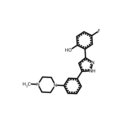 CN1CCN(c2cccc(-c3cc(-c4cc(F)ccc4O)n[nH]3)c2)CC1